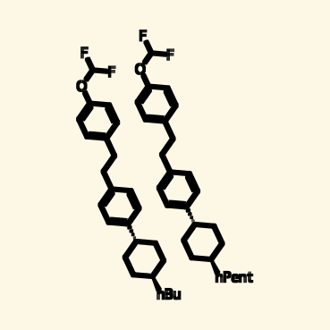 CCCCC[C@H]1CC[C@H](c2ccc(CCc3ccc(OC(F)F)cc3)cc2)CC1.CCCC[C@H]1CC[C@H](c2ccc(CCc3ccc(OC(F)F)cc3)cc2)CC1